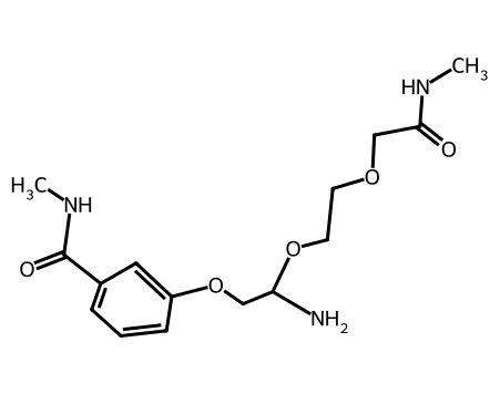 CNC(=O)COCCOC(N)COc1cccc(C(=O)NC)c1